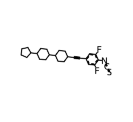 Fc1cc(C#CC2CCC(C3CCC(C4CCCC4)CC3)CC2)cc(F)c1N=C=S